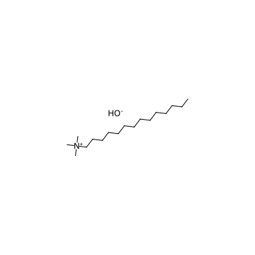 CCCCCCCCCCCCCC[N+](C)(C)C.[OH-]